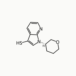 Sc1cn([C@H]2CCCOC2)c2ncccc12